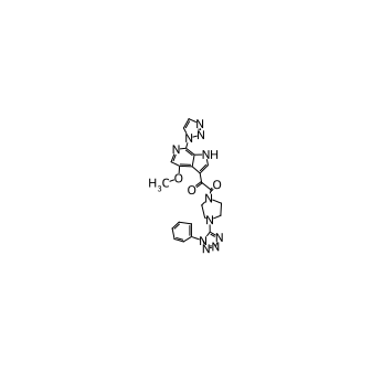 COc1cnc(-n2ccnn2)c2[nH]cc(C(=O)C(=O)N3CCN(c4nnnn4-c4ccccc4)CC3)c12